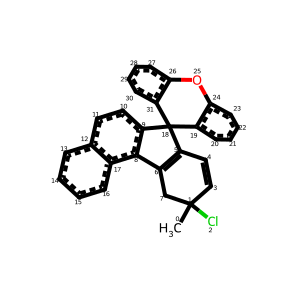 CC1(Cl)C=CC2=C(C1)c1c(ccc3ccccc13)C21c2ccccc2Oc2ccccc21